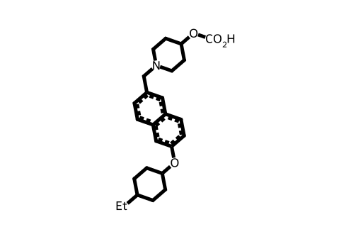 CCC1CCC(Oc2ccc3cc(CN4CCC(OC(=O)O)CC4)ccc3c2)CC1